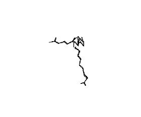 CC(C)CCCCCCCCn1nncc1CCCC(C)C